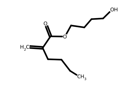 C=C(CCCC)C(=O)OCCCCO